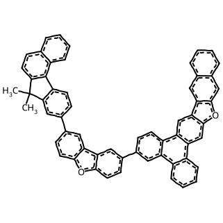 CC1(C)c2cc(-c3ccc4oc5ccc(-c6ccc7c(c6)c6ccccc6c6cc8oc9cc%10ccccc%10cc9c8cc76)cc5c4c3)ccc2-c2c1ccc1ccccc21